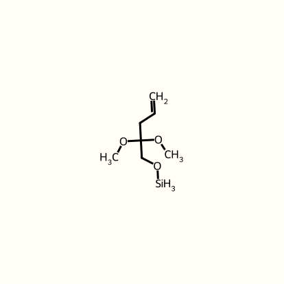 C=CCC(CO[SiH3])(OC)OC